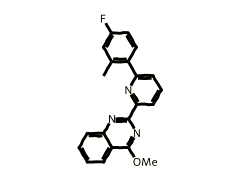 COc1nc(-c2cccc(-c3ccc(F)cc3C)n2)nc2ccccc12